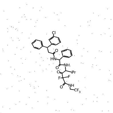 CC(C)C(NC(=O)C(NC(=O)CC(c1ccccc1)c1cccc(Cl)c1)c1ccccc1)C(=O)C(F)(F)C(=O)NCC(F)(F)F